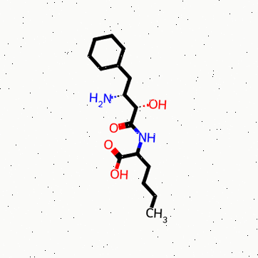 CCCCC(NC(=O)[C@@H](O)[C@H](N)CC1CCCCC1)C(=O)O